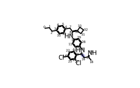 CCCc1ccc(CC(Nc2ccc(N/C(=C\C(C)=N)c3ccc(Cl)cc3Cl)cc2)=C2CCC2)cc1